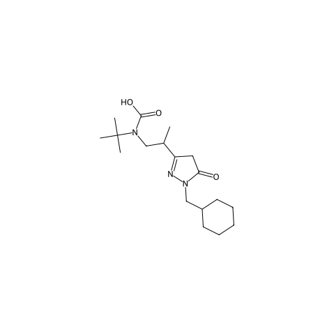 CC(CN(C(=O)O)C(C)(C)C)C1=NN(CC2CCCCC2)C(=O)C1